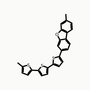 Cc1ccc2c(c1)oc1cc(-c3ccc(-c4ccc(-c5ccc(C)s5)s4)s3)ccc12